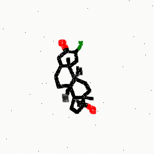 C[C@]12CC(F)C(=O)CC1CC[C@@H]1[C@@H]2CC[C@]2(C)C(=O)CC[C@@H]12